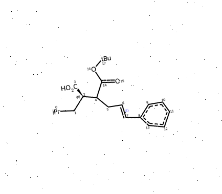 CC(C)C[C@@H](C(=O)O)C(C/C=C/c1ccccc1)C(=O)OC(C)(C)C